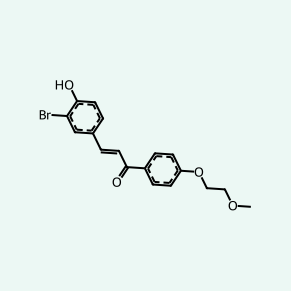 COCCOc1ccc(C(=O)/C=C/c2ccc(O)c(Br)c2)cc1